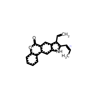 C=Cc1c(/C=C\C)[nH]c2cc3c(cc12)c(=O)oc1ccccc13